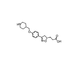 O=C(O)CC[C@@H]1CC(c2ccc(OCC3CCNCC3)cc2)=NO1